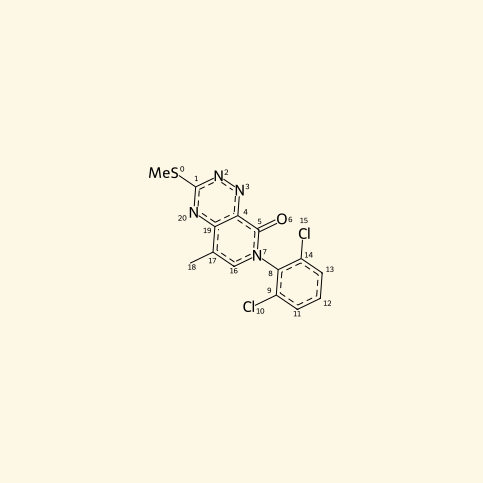 CSc1nnc2c(=O)n(-c3c(Cl)cccc3Cl)cc(C)c2n1